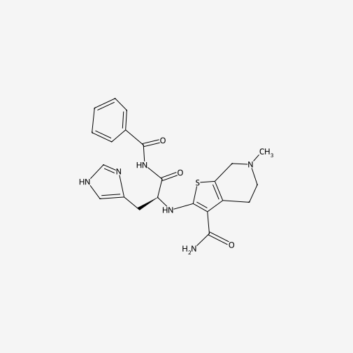 CN1CCc2c(sc(N[C@@H](Cc3c[nH]cn3)C(=O)NC(=O)c3ccccc3)c2C(N)=O)C1